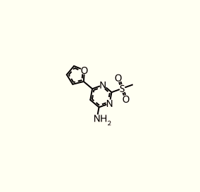 CS(=O)(=O)c1nc(N)cc(-c2ccco2)n1